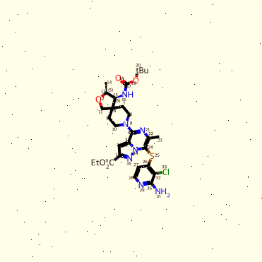 CCOC(=O)c1cc2c(N3CCC4(CC3)CO[C@@H](C)[C@H]4NC(=O)OC(C)(C)C)nc(C)c(Sc3ccnc(N)c3Cl)n2n1